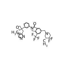 C[C@@H]1CN(Cc2cc3c(c(C(F)(F)F)c2)CN(c2cccc(C4(Cc5nncn5C)COC4)c2)C3=O)CCC1(F)F